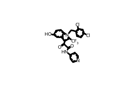 O=C(Nc1ccncc1)C(=O)c1c(C(F)(F)F)n(Cc2ccc(Cl)cc2Cl)c2ccc(O)cc12